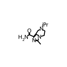 Cc1nc(C(N)=O)c2n1CCN(C(C)C)C2